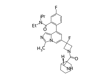 CCN(C(=O)c1cc(F)ccc1-c1cc(C2(F)CN(C(=O)[C@@H]3NC4CCC3CC4)C2)cn2c(C)ncc12)C(C)C